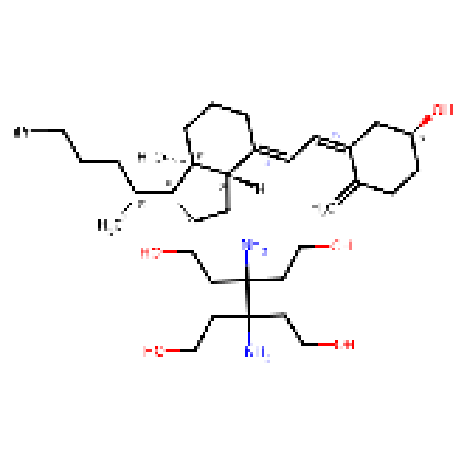 C=C1CC[C@H](O)C/C1=C/C=C1\CCC[C@]2(C)[C@@H]([C@H](C)CCCC(C)C)CC[C@@H]12.NC(CCO)(CCO)C(N)(CCO)CCO